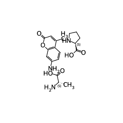 C[C@H](N)C(=O)O.Cc1cc(=O)oc2cc(N)ccc12.O=C(O)[C@@H]1CCCN1